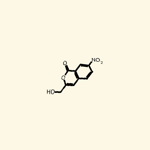 O=c1oc(CO)cc2ccc([N+](=O)[O-])cc12